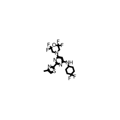 Cc1csc(-c2nc(NC3CCC(F)(F)CC3)cc(N3CC(F)(F)OC(F)(F)C3)n2)n1